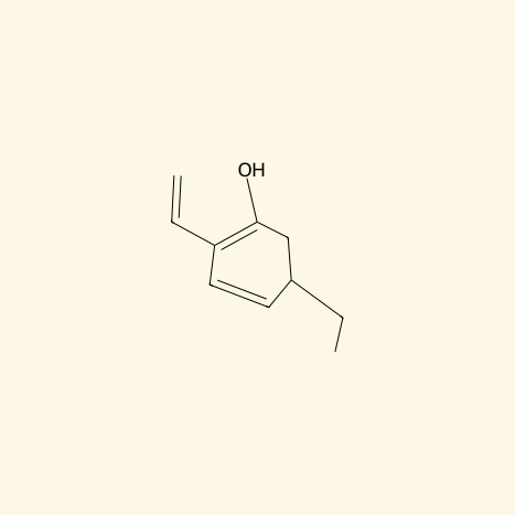 C=CC1=C(O)CC(CC)C=C1